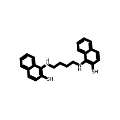 Sc1ccc2ccccc2c1NCCCCNc1c(S)ccc2ccccc12